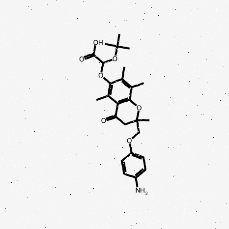 Cc1c(C)c2c(c(C)c1OC(OC(C)(C)C)C(=O)O)C(=O)CC(C)(COc1ccc(N)cc1)O2